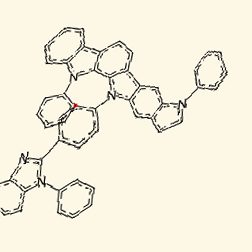 c1ccc(-n2ccc3cc4c(cc32)c2ccc3c5ccccc5n(-c5ccccc5)c3c2n4-c2ccc(-c3nc4ccccc4n3-c3ccccc3)cc2)cc1